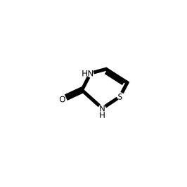 O=C1NC=CSN1